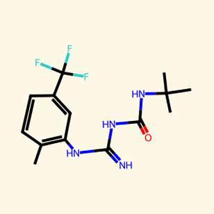 Cc1ccc(C(F)(F)F)cc1NC(=N)NC(=O)NC(C)(C)C